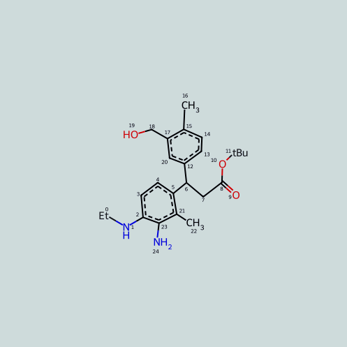 CCNc1ccc(C(CC(=O)OC(C)(C)C)c2ccc(C)c(CO)c2)c(C)c1N